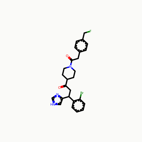 O=C(CC(c1c[nH]cn1)c1ccccc1Br)C1CCN(C(=O)Cc2ccc(CF)cc2)CC1